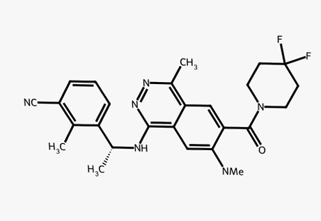 CNc1cc2c(N[C@H](C)c3cccc(C#N)c3C)nnc(C)c2cc1C(=O)N1CCC(F)(F)CC1